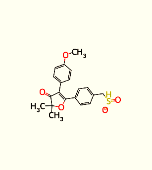 COc1ccc(C2=C(c3ccc(C[SH](=O)=O)cc3)OC(C)(C)C2=O)cc1